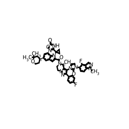 C[C@H]1c2c(-n3ccn(-c4ccc5c(cnn5C)c4F)c3=O)c(-c3ccc(F)cc3)nn2CCN1C(=O)c1cc2cc([C@H]3CCOC(C)(C)C3)ccc2n1C1(c2noc(=O)[nH]2)CC1